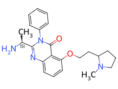 C[C@H](N)c1nc2cccc(OCCC3CCCN3C)c2c(=O)n1-c1ccccc1